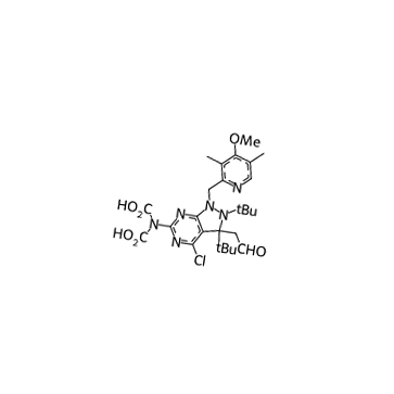 COc1c(C)cnc(CN2c3nc(N(C(=O)O)C(=O)O)nc(Cl)c3C(CC=O)(C(C)(C)C)N2C(C)(C)C)c1C